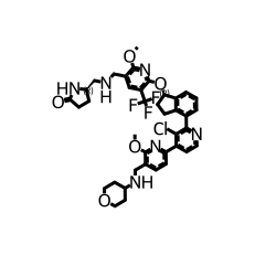 COc1nc(-c2ccnc(-c3cccc4c3CC[C@H]4Oc3nc(OC)c(CNC[C@H]4CCC(=O)N4)cc3C(F)(F)F)c2Cl)ccc1CNC1CCOCC1